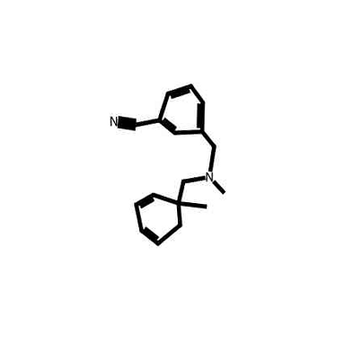 CN(Cc1cccc(C#N)c1)CC1(C)C=CC=CC1